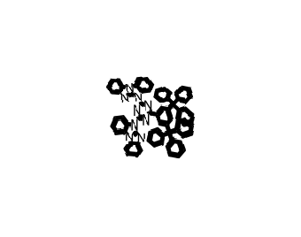 c1ccc(C(c2ccccc2)(c2ccccc2)c2cc(-c3nc(-n4c5ccccc5n5c6ccccc6nc45)nc(-n4c5ccccc5n5c6ccccc6nc45)n3)cc(C(c3ccccc3)(c3ccccc3)c3ccccc3)c2)cc1